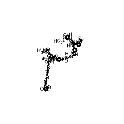 CC(C)C(NC(=O)CCOCCOCCOCCOCCN1C(=O)C=CC1=O)C(=O)N[C@@H](CCCNC(N)=O)C(=O)Nc1ccc(COC(=O)NCCOc2cnc3ccc(-c4[nH]c(CNc5ccc(F)c(C(=O)O)c5)nc4-c4cccc(C(F)F)n4)cc3n2)cc1